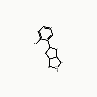 Clc1ccccc1C1CC2CNCC2C1